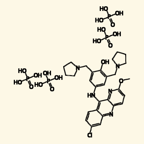 COc1ccc2nc3cc(Cl)ccc3c(Nc3cc(CN4CCCC4)c(O)c(CN4CCCC4)c3)c2n1.O=P(O)(O)O.O=P(O)(O)O.O=P(O)(O)O.O=P(O)(O)O